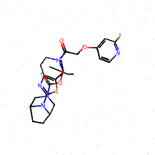 CC(C)(C)OC(=O)N1CC2CCC(C1)N2c1nc2c(s1)CN(C(=O)COc1ccnc(F)c1)CC2